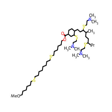 COCCCCCCSCCCCCCCCSCCCCCCOC(=O)C1CCC(CCC(SCCN(C)C)C(C)CCC(SCCN(C)C)C(C)C)C(SCCN(C)C)C1